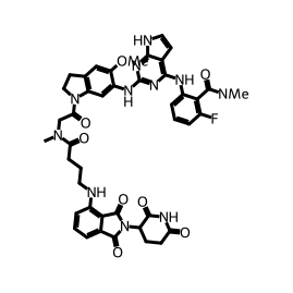 CNC(=O)c1c(F)cccc1Nc1nc(Nc2cc3c(cc2OC)CCN3C(=O)CN(C)C(=O)CCCNc2cccc3c2C(=O)N(C2CCC(=O)NC2=O)C3=O)nc2[nH]ccc12